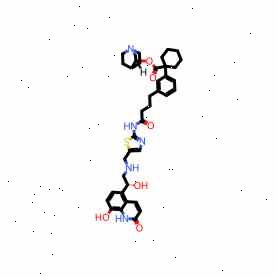 O=C(CCCc1cccc(C2(C(=O)O[C@H]3CN4CCC3CC4)CCCCC2)c1)Nc1ncc(CNC[C@H](O)c2ccc(O)c3[nH]c(=O)ccc23)s1